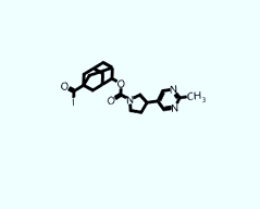 Cc1ncc(C2CCN(C(=O)OC3C4CC5CC3CC(C(=O)I)(C5)C4)C2)cn1